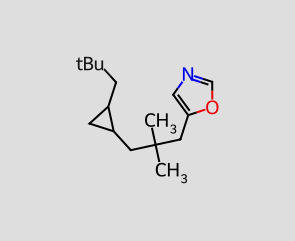 CC(C)(C)CC1CC1CC(C)(C)Cc1cnco1